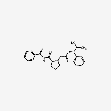 CC(C)[C@H](OC(=O)CN1CCC[C@H]1C(=O)NC(=O)c1ccccc1)c1ccccc1